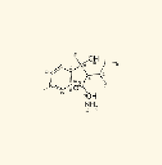 CCC(C)C(C(=O)O)C(C)(O)c1ccncc1.N